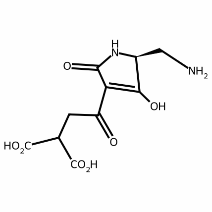 NC[C@@H]1NC(=O)C(C(=O)CC(C(=O)O)C(=O)O)=C1O